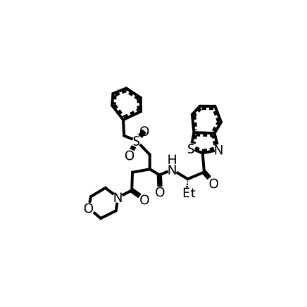 CC[C@H](NC(=O)C(CC(=O)N1CCOCC1)CS(=O)(=O)Cc1ccccc1)C(=O)c1nc2ccccc2s1